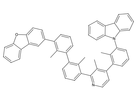 Cc1c(-c2ccc3oc4ccccc4c3c2)cccc1-c1cccc(-c2nccc(-c3cccc(-n4c5ccccc5c5ccccc54)c3C)c2C)c1C